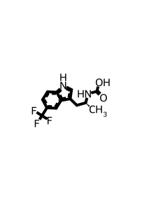 C[C@H](Cc1c[nH]c2ccc(C(F)(F)F)cc12)NC(=O)O